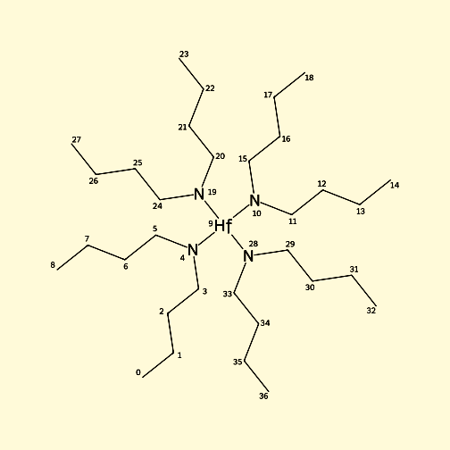 CCCC[N](CCCC)[Hf]([N](CCCC)CCCC)([N](CCCC)CCCC)[N](CCCC)CCCC